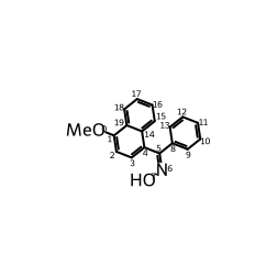 COc1ccc(/C(=N\O)c2ccccc2)c2ccccc12